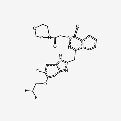 O=C(Cn1nc(Cc2nc3cc(OCC(F)F)c(F)cc3[nH]2)c2ccccc2c1=O)N1CCOCC1